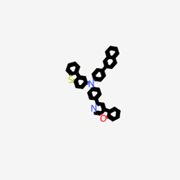 c1ccc2cc(-c3ccc(N(c4ccc(-c5cc6c(cn5)oc5ccccc56)cc4)c4ccc5sc6ccccc6c5c4)cc3)ccc2c1